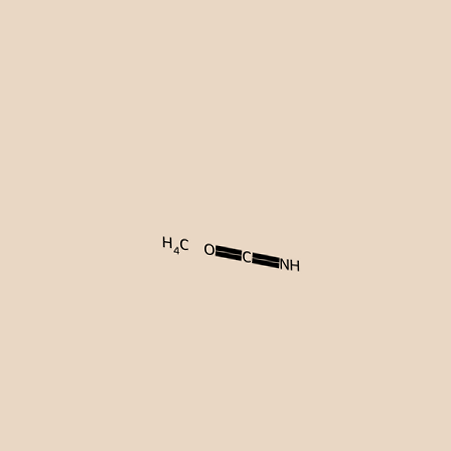 C.N=C=O